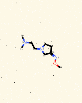 CON=C1CCN(CCN(C)C)C1